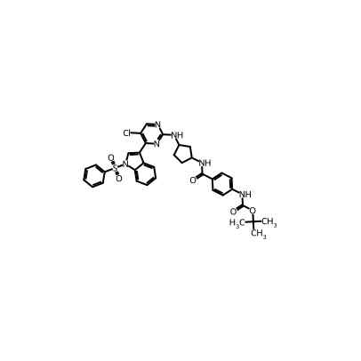 CC(C)(C)OC(=O)Nc1ccc(C(=O)NC2CCC(Nc3ncc(Cl)c(-c4cn(S(=O)(=O)c5ccccc5)c5ccccc45)n3)C2)cc1